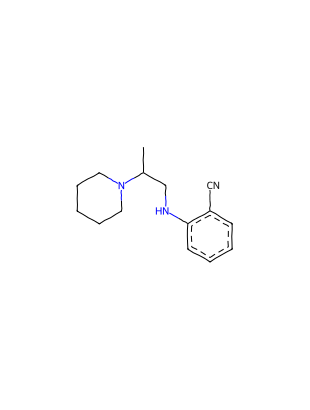 CC(CNc1ccccc1C#N)N1CCCCC1